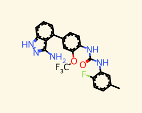 Cc1ccc(F)c(NC(=O)Nc2ccc(-c3cccc4[nH]nc(N)c34)cc2OC(F)(F)F)c1